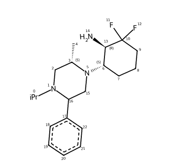 CC(C)N1C[C@H](C)N([C@H]2CCCC(F)(F)[C@@H]2N)CC1c1ccccc1